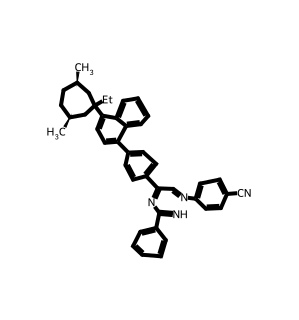 CCC1(c2ccc(-c3ccc(C(/C=N/c4ccc(C#N)cc4)=N/C(=N)c4ccccc4)cc3)c3ccccc23)C[C@H](C)CC[C@H](C)C1